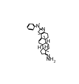 CN(c1ccccc1)c1nc2c(s1)C1=CC[C@@H]3[C@H](CC[C@]4(C)/C(=N/N)CC[C@@H]34)[C@@]1(C)CC2